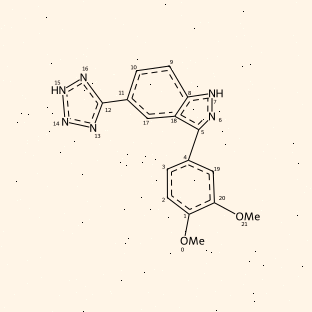 COc1ccc(-c2n[nH]c3ccc(-c4nn[nH]n4)cc23)cc1OC